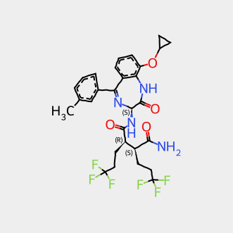 Cc1cccc(C2=N[C@H](NC(=O)[C@H](CCC(F)(F)F)[C@H](CCC(F)(F)F)C(N)=O)C(=O)Nc3c(OC4CC4)cccc32)c1